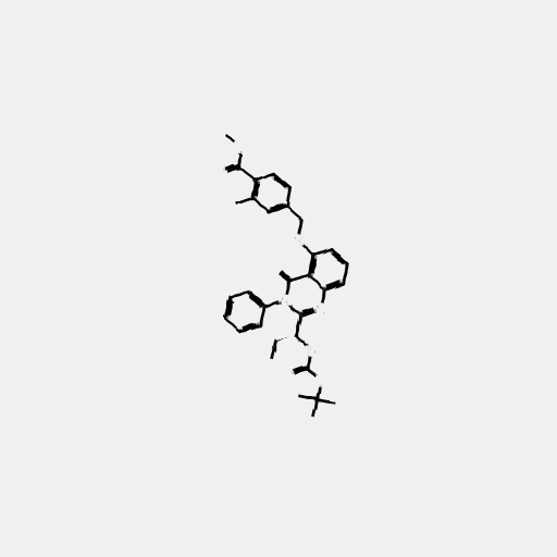 CC[C@H](NC(=O)OC(C)(C)C)c1nc2cccc(NCc3ccc(C(=O)OC)c(C)c3)c2c(=O)n1-c1ccccc1